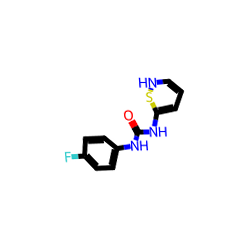 O=C(NC1=CC=CNS1)Nc1ccc(F)cc1